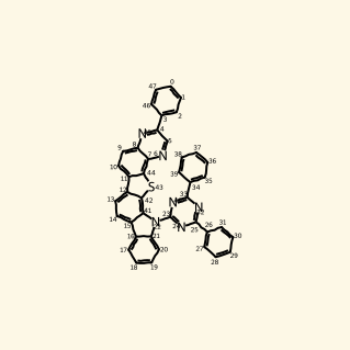 c1ccc(-c2cnc3c(ccc4c5ccc6c7ccccc7n(-c7nc(-c8ccccc8)nc(-c8ccccc8)n7)c6c5sc43)n2)cc1